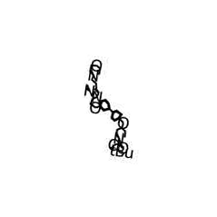 C=N/C(=C\N1CCOc2cc(-c3ccc(OC4CCN(C(=O)OC(C)(C)C)CC4)cc3)ccc21)CCN1CCOCC1